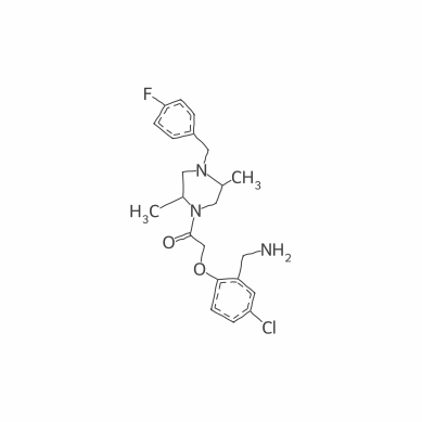 CC1CN(C(=O)COc2ccc(Cl)cc2CN)C(C)CN1Cc1ccc(F)cc1